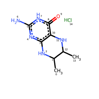 CC1Nc2nc(N)[nH]c(=O)c2NC1C.Cl